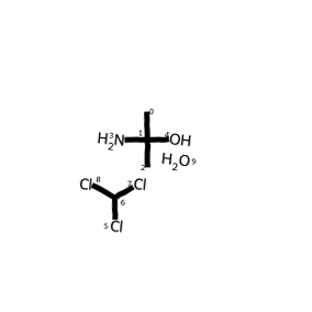 CC(C)(N)O.ClC(Cl)Cl.O